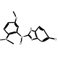 COc1ccc(N(C)C)c([S+]([O-])c2nc3cc(Cl)ccc3[nH]2)c1